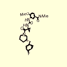 CNC(=O)c1ccc(OC)c(NC(=O)NC2(C(=O)N3CCC[C@@H](Cc4ccc(F)cc4)C3)CC2)c1